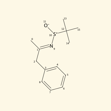 CC(Cc1ccccc1)=N[S+]([O-])C(C)(C)C